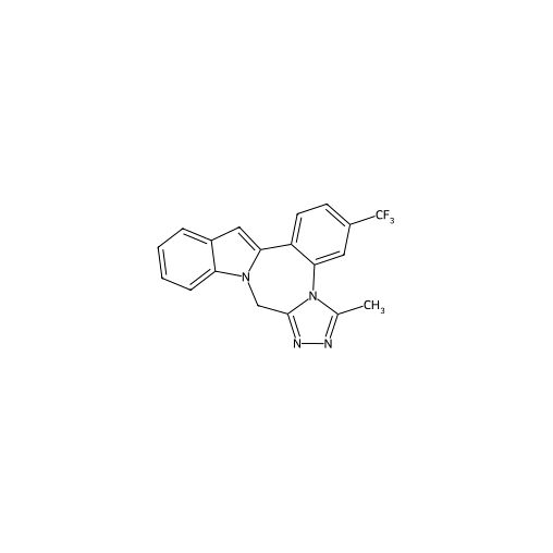 Cc1nnc2n1-c1cc(C(F)(F)F)ccc1-c1cc3ccccc3n1C2